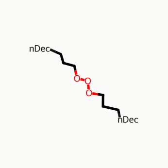 CCCCCCCCCCCCCOOOCCCCCCCCCCCCC